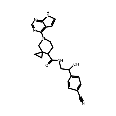 N#Cc1ccc(C(O)CNC(=O)C2CCN(c3ncnc4[nH]ccc34)CC23CC3)cc1